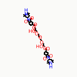 CC1(C)CC(N2C(=O)c3ccc(C(=O)OCC(O)COCCOCCOCC(O)COC(=O)c4ccc5c(c4)C(=O)N(C4CC(C)(C)NC(C)(C)C4)C5=O)cc3C2=O)CC(C)(C)N1